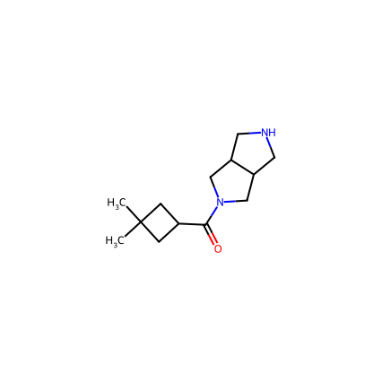 CC1(C)CC(C(=O)N2CC3CNCC3C2)C1